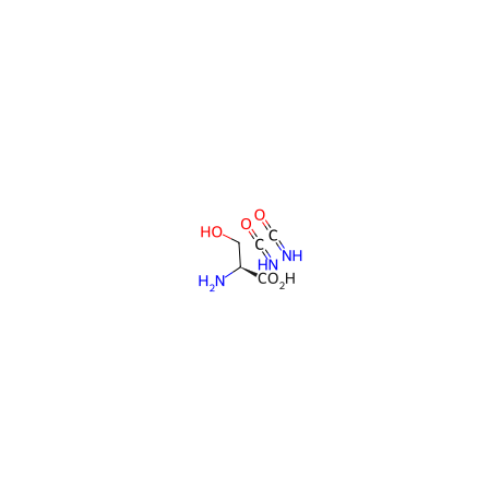 N=C=O.N=C=O.N[C@@H](CO)C(=O)O